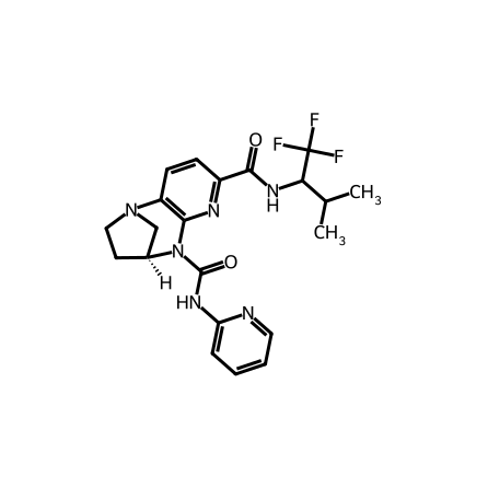 CC(C)C(NC(=O)c1ccc2c(n1)N(C(=O)Nc1ccccn1)[C@H]1CCN2C1)C(F)(F)F